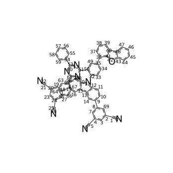 N#Cc1cc(C#N)cc(-c2ccc3c(c2)c2cc(-c4cc(C#N)cc(C#N)c4)ccc2n3-c2ccc(-c3cccc4c3oc3ccccc34)cc2-c2nc(-c3ccccc3)nc(-c3ccccc3)n2)c1